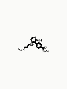 CNCCCNc1ncnc2[nH]c3cc(C(=O)OC)ccc3c12